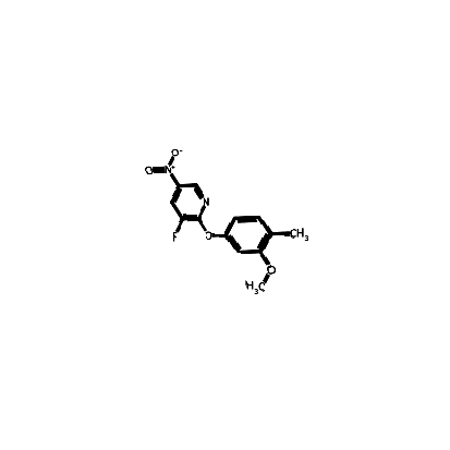 COc1cc(Oc2ncc([N+](=O)[O-])cc2F)ccc1C